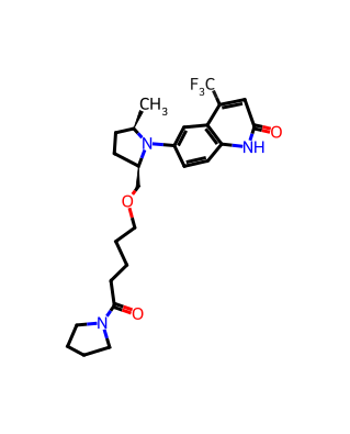 C[C@@H]1CC[C@H](COCCCCC(=O)N2CCCC2)N1c1ccc2[nH]c(=O)cc(C(F)(F)F)c2c1